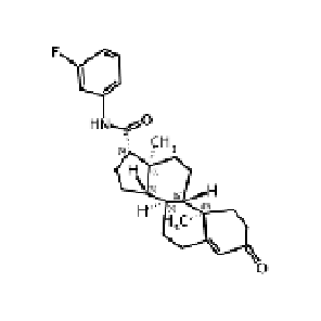 C[C@]12CC[C@H]3[C@@H](CCC4=CC(=O)CC[C@@]43C)[C@@H]1CC[C@@H]2C(=O)Nc1cccc(F)c1